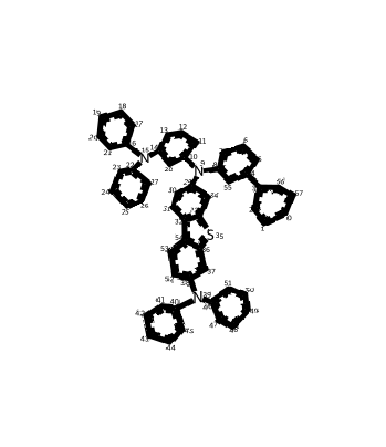 c1ccc(-c2cccc(N(c3cccc(N(c4ccccc4)c4ccccc4)c3)c3ccc4c(c3)sc3cc(N(c5ccccc5)c5ccccc5)ccc34)c2)cc1